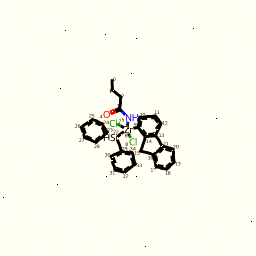 CCCC(=O)[NH][Zr]([Cl])([Cl])([c]1cccc2c1Cc1ccccc1-2)[SiH](c1ccccc1)c1ccccc1